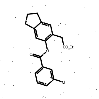 CCOC(=O)Cc1cc2c(cc1OC(=O)c1cccc(Cl)c1)CCC2